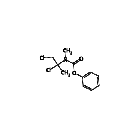 CN(C(=O)Oc1ccccc1)C(C)(Cl)CCl